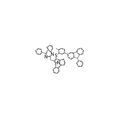 Cc1ccc(-c2ccc3c(c2)-c2ccccc2C3c2ccccc2)cc1Sc1c(Cc2nc(-c3ccccc3)c3ccccc3n2)c2c3ccccc3c3cccc1n32